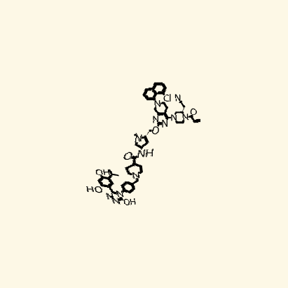 C=CC(=O)N1CCN(c2nc(OC[C@@H]3C[C@H](NC(=O)C4CCN(Cc5ccc(-n6c(O)nnc6-c6cc(C(C)C)c(O)cc6O)cc5)CC4)CN3C)nc3c2CCN(c2cccc4cccc(Cl)c24)C3)C[C@@H]1CC#N